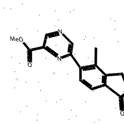 COC(=O)c1cncc(-c2ccc3c(c2C)COC3=O)n1